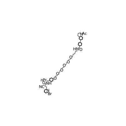 CCCC(NC(=O)C(C#N)Cc1cccc(Br)n1)c1ccc(OCCOCCOCCOCCOCCOCCCCCNC(=O)c2ccc(-c3ccc4c(c3)CC[C@H](C)N4C(C)=O)cc2)cc1